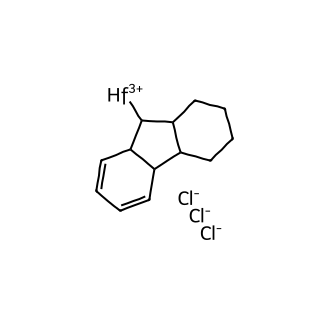 [Cl-].[Cl-].[Cl-].[Hf+3][CH]1C2C=CC=CC2C2CCCCC12